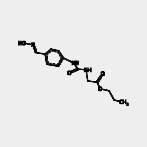 CCCOC(=O)CNC(=O)Nc1ccc(C=NO)cc1